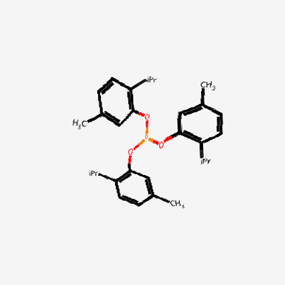 Cc1ccc(C(C)C)c(OP(Oc2cc(C)ccc2C(C)C)Oc2cc(C)ccc2C(C)C)c1